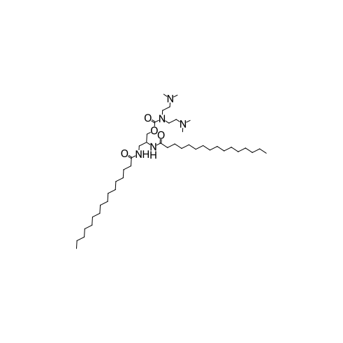 CCCCCCCCCCCCCCCC(=O)NCC(COC(=O)N(CCN(C)C)CCN(C)C)NC(=O)CCCCCCCCCCCCCCC